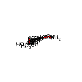 Nc1ccc(OCCOCCOCCOCCOCC(=O)NCC(O)CN2CCN(CC(=O)O)CCN(CC(=O)O)CCN(CC(=O)O)CC2)cc1